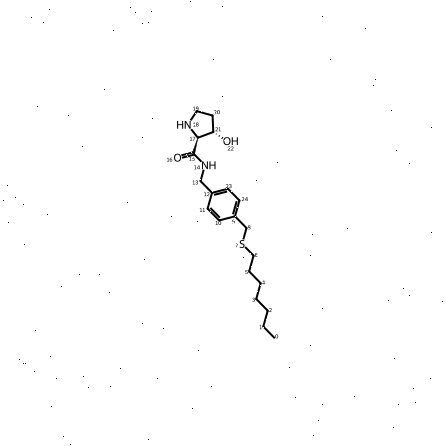 CCCCCCCSCc1ccc(CNC(=O)[C@H]2NCC[C@@H]2O)cc1